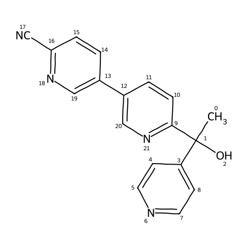 CC(O)(c1ccncc1)c1ccc(-c2ccc(C#N)nc2)cn1